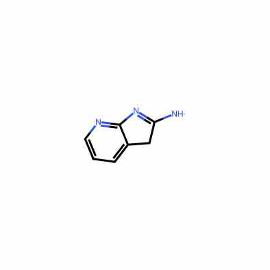 [NH]C1=Nc2ncccc2C1